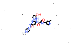 CCN1CCN(c2nc3nc(N4CCC(O)C4)c(NC(=O)c4coc(-c5ccnc(C)c5)n4)cc3o2)CC1